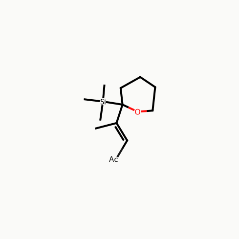 CC(=O)C=C(C)C1([Si](C)(C)C)CCCCO1